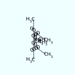 CCCCCCCCC(=O)OCC(COC(=O)CCCCCCCC)CC(=O)OCCC(CCOC(=O)CC(COC(=O)CCCCCCCC)COC(=O)CCCCCCCC)N(C)C(=O)CCN(C)C